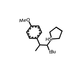 COc1ccc(C(C)C([SiH]2CCCC2)C(C)(C)C)cc1